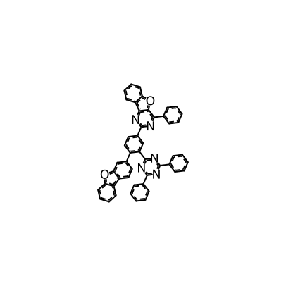 c1ccc(-c2nc(-c3ccccc3)nc(-c3cc(-c4nc(-c5ccccc5)c5oc6ccccc6c5n4)ccc3-c3ccc4c(c3)oc3ccccc34)n2)cc1